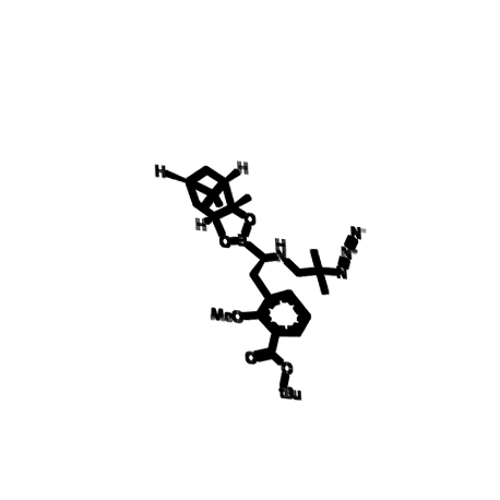 COc1c(C[C@H](NCC(C)(C)N=[N+]=[N-])B2O[C@@H]3C[C@@H]4C[C@@H](C4(C)C)[C@]3(C)O2)cccc1C(=O)OC(C)(C)C